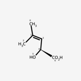 CC(C)=C[C@H](O)C(=O)O